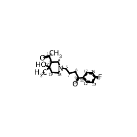 CC(=O)C1CN(CCCC(=O)c2ccc(F)cc2)CCC1(C)O